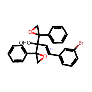 O=CC(/C=C/c1cccc(Br)c1)(C1(c2ccccc2)CO1)C1(c2ccccc2)CO1